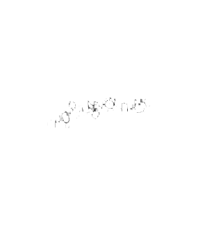 O=c1n(-c2ccc(N3CCN(c4ccccn4)CC3)nc2)cnn1CCCC(O)c1ccc(Cl)cc1